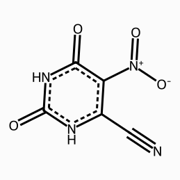 N#Cc1[nH]c(=O)[nH]c(=O)c1[N+](=O)[O-]